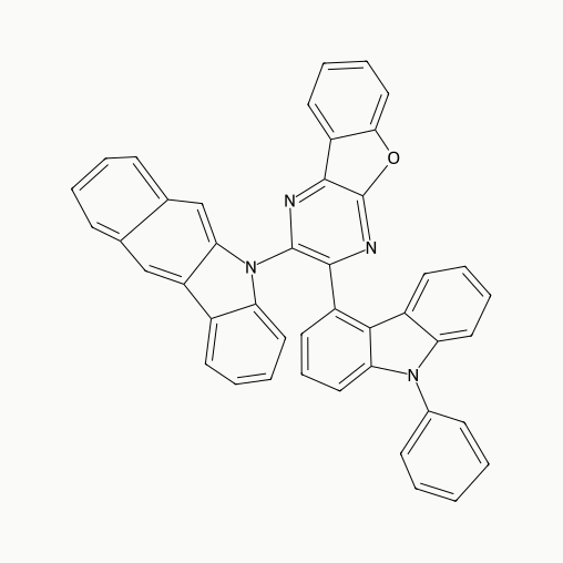 c1ccc(-n2c3ccccc3c3c(-c4nc5oc6ccccc6c5nc4-n4c5ccccc5c5cc6ccccc6cc54)cccc32)cc1